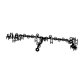 O=C(CCOCC(COCCC(=O)NCCOCCOCCOCCOC[C@H]1OC[C@H](Nc2cncc(C(F)(F)F)n2)[C@@H](O)[C@H]1O)NC(=O)COCC(=O)OCc1ccccc1)NCCOCCOCCOCCOC[C@H]1OC[C@H](Nc2cncc(C(F)(F)F)n2)[C@@H](O)[C@H]1O